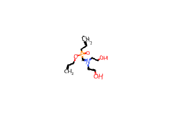 C=CCOP(=O)(CC=C)CN(CCO)CCO